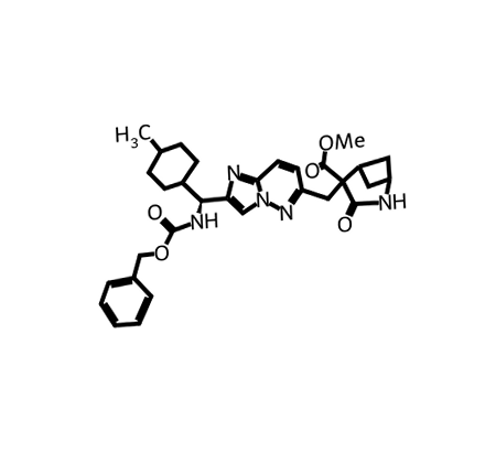 COC(=O)C1(Cc2ccc3nc([C@@H](NC(=O)OCc4ccccc4)C4CCC(C)CC4)cn3n2)C(=O)NC2CC1C2